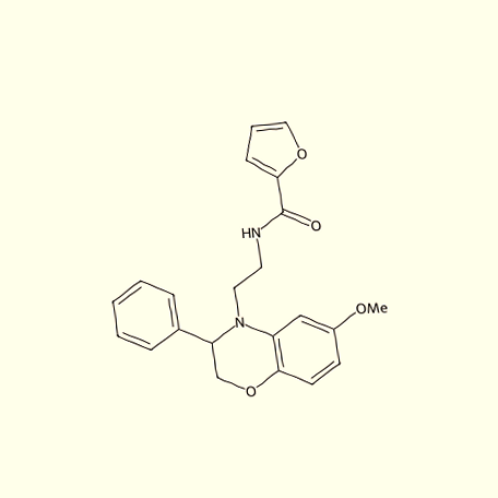 COc1ccc2c(c1)N(CCNC(=O)c1ccco1)C(c1ccccc1)CO2